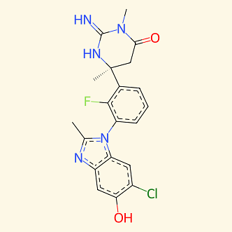 Cc1nc2cc(O)c(Cl)cc2n1-c1cccc([C@]2(C)CC(=O)N(C)C(=N)N2)c1F